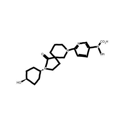 CCCN(C(=O)O)c1ccc(N2CCCC3(CCN([C@H]4CC[C@H](O)CC4)C3=O)C2)nc1